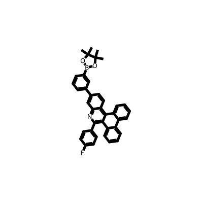 CC1(C)OB(c2cccc(-c3ccc4c(c3)nc(-c3ccc(F)cc3)c3c5ccccc5c5ccccc5c43)c2)OC1(C)C